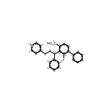 O=C(O)c1ccc(-c2ccccc2)c(I)c1C(CCc1ccncc1)c1ccccc1